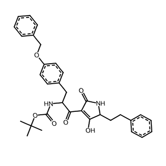 CC(C)(C)OC(=O)NC(Cc1ccc(OCc2ccccc2)cc1)C(=O)C1=C(O)C(CCc2ccccc2)NC1=O